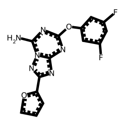 Nc1nc(Oc2cc(F)cc(F)c2)nc2nc(-c3ccco3)nn12